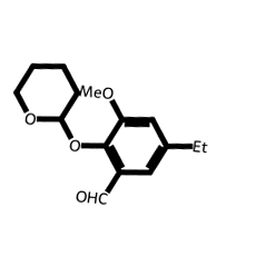 CCc1cc(C=O)c(OC2CCCCO2)c(OC)c1